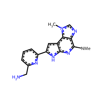 CNc1nc2[nH]c(-c3cccc(CN)n3)cc2c2c1ncn2C